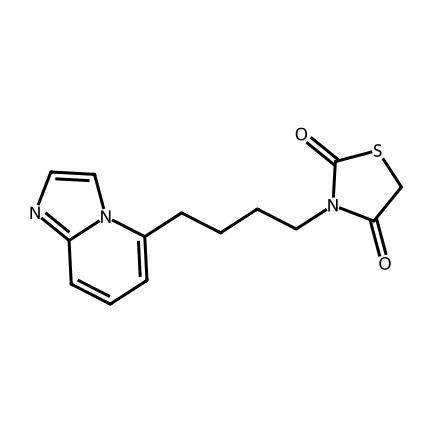 O=C1CSC(=O)N1CCCCc1cccc2nccn12